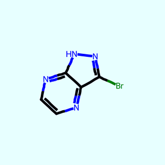 Brc1n[nH]c2nccnc12